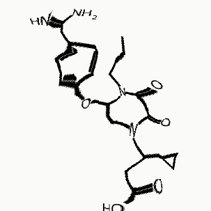 CCCN1C(=O)C(=O)N(C(CC(=O)O)C2CC2)CC1Oc1ccc(C(=N)N)cc1